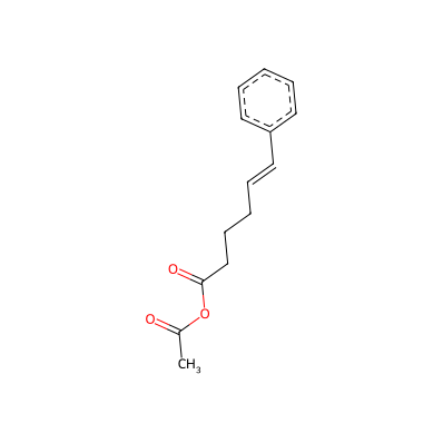 CC(=O)OC(=O)CCCC=Cc1ccccc1